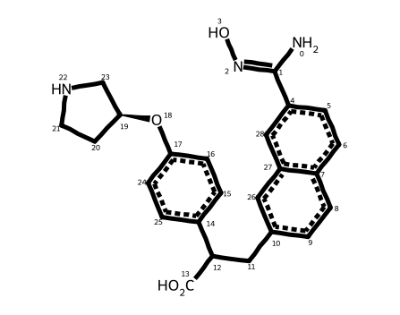 NC(=NO)c1ccc2ccc(CC(C(=O)O)c3ccc(O[C@H]4CCNC4)cc3)cc2c1